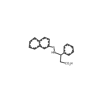 O=C(O)CC(NSc1ccc2ccccc2c1)c1ccccc1